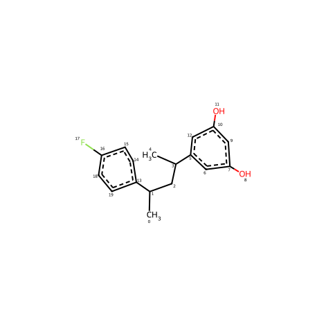 CC(CC(C)c1cc(O)cc(O)c1)c1ccc(F)cc1